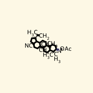 C=C(C)[C@@H]1CCC2(C#N)CC[C@]3(C)C(CCC4[C@@]5(C)CC/C(=N\OC(C)=O)C(C)(C)C5CC[C@]43C)C12